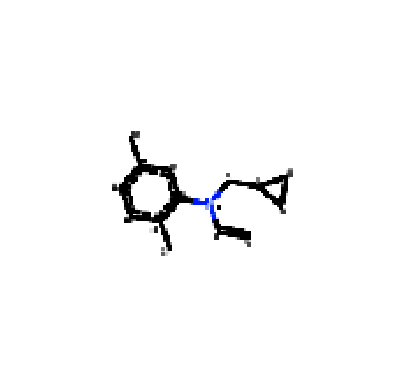 C=CN(CC1CC1)c1cc(C)ccc1C